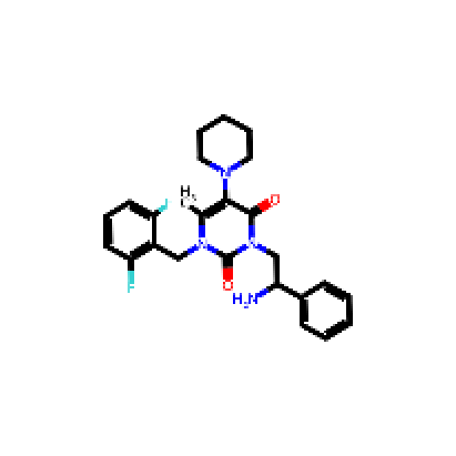 Cc1c(N2CCCCC2)c(=O)n(CC(N)c2ccccc2)c(=O)n1Cc1c(F)cccc1F